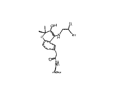 CCCCNC(=O)Cc1ccc2c(c1)C(NCC(CC)CC)=C(O)C(C)(C)O2